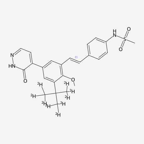 [2H]C([2H])([2H])C(c1cc(-c2ccn[nH]c2=O)cc(/C=C/c2ccc(NS(C)(=O)=O)cc2)c1OC)(C([2H])([2H])[2H])C([2H])([2H])[2H]